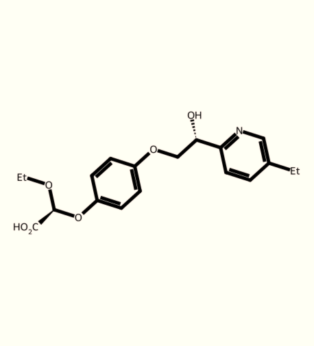 CCO[C@@H](Oc1ccc(OC[C@H](O)c2ccc(CC)cn2)cc1)C(=O)O